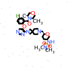 C[C@@H]1COC[C@@H](C)N1C(=O)c1cc(F)ccc1Oc1cncnc1N1CC2(CCN(C[C@@H]3CC[C@@H](NS(=O)(=O)N(C)C)CO3)CC2)C1